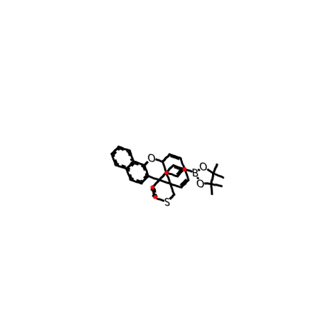 CC1(C)OB(C2=CC3C(C=C2)Oc2c(ccc4ccccc24)C32c3ccccc3SCC23C=CC=CC3)OC1(C)C